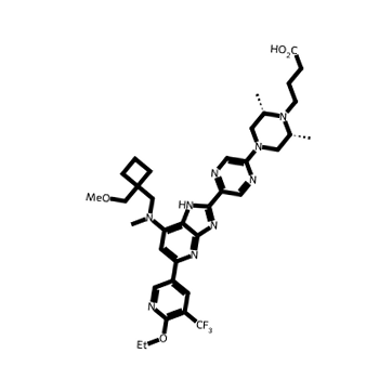 CCOc1ncc(-c2cc(N(C)CC3(COC)CCC3)c3[nH]c(-c4cnc(N5C[C@@H](C)N(CCCC(=O)O)[C@@H](C)C5)cn4)nc3n2)cc1C(F)(F)F